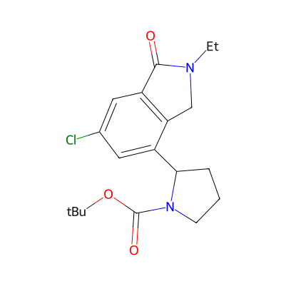 CCN1Cc2c(cc(Cl)cc2C2CCCN2C(=O)OC(C)(C)C)C1=O